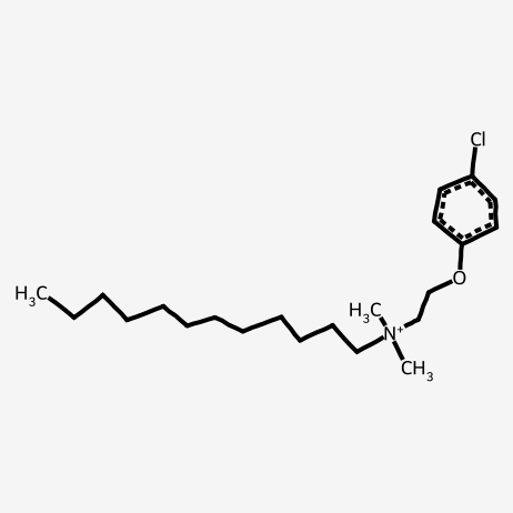 CCCCCCCCCCCC[N+](C)(C)CCOc1ccc(Cl)cc1